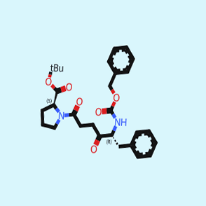 CC(C)(C)OC(=O)[C@@H]1CCCN1C(=O)CCC(=O)[C@@H](Cc1ccccc1)NC(=O)OCc1ccccc1